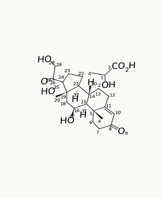 CC(O)C(=O)O.C[C@]12CCC(=O)C=C1CC[C@@H]1[C@@H]2[C@@H](O)C[C@@]2(C)[C@H]1CC[C@]2(O)C(=O)CO